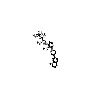 Cc1c(NCC(N)C(=O)OC(C)(C)C)ncnc1N1CCC(c2ccc3c(n2)NCCC3)CC1